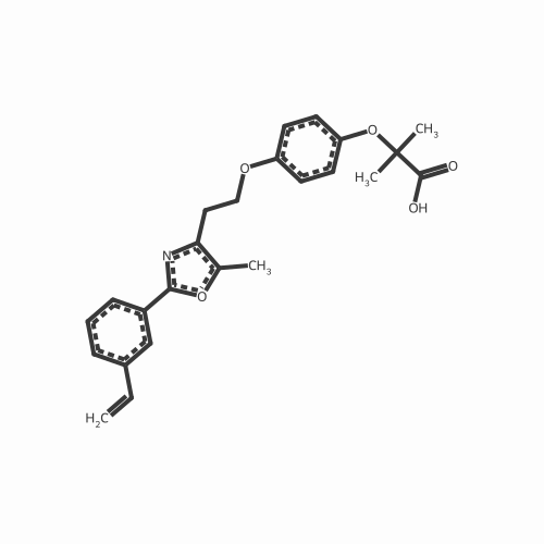 C=Cc1cccc(-c2nc(CCOc3ccc(OC(C)(C)C(=O)O)cc3)c(C)o2)c1